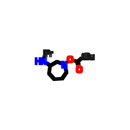 CC(C)NC1CCCCN(OC(=O)C(C)(C)C)C1